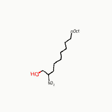 CCCCCCCCCCCCCCCC(CO)[N+](=O)[O-]